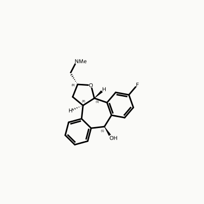 CNC[C@H]1C[C@@H]2c3ccccc3[C@H](O)c3ccc(F)cc3[C@H]2O1